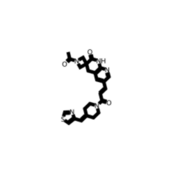 CC(=O)N1CC2(Cc3cc(C=CC(=O)N4CCC(=Cc5cscn5)CC4)cnc3NC2=O)C1